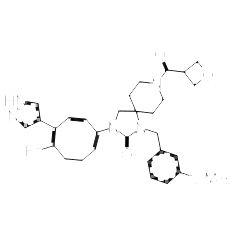 CC/C1=C(c2cn[nH]c2)/C=C\C(N2CC3(CCN(C(=O)C4COC4)CC3)N(Cc3cccc(OC)c3)C2=O)=C/CC1